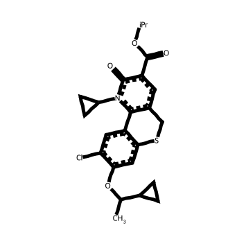 CC(C)OC(=O)c1cc2c(n(C3CC3)c1=O)-c1cc(Cl)c(OC(C)C3CC3)cc1SC2